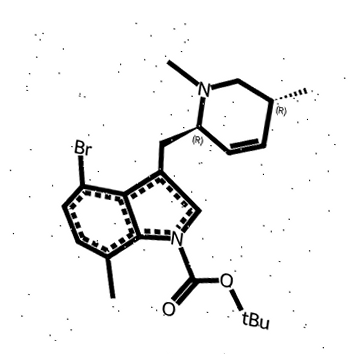 Cc1ccc(Br)c2c(C[C@@H]3C=C[C@@H](C)CN3C)cn(C(=O)OC(C)(C)C)c12